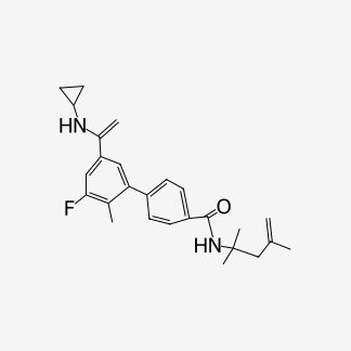 C=C(C)CC(C)(C)NC(=O)c1ccc(-c2cc(C(=C)NC3CC3)cc(F)c2C)cc1